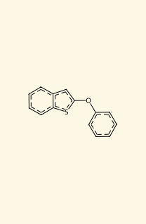 [c]1ccccc1Oc1cc2ccccc2s1